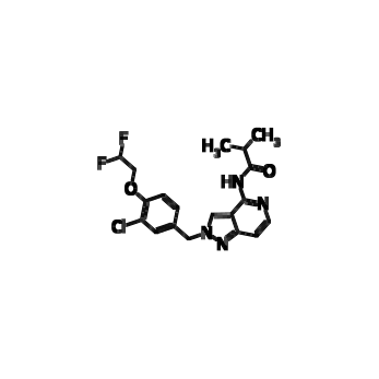 CC(C)C(=O)Nc1nccc2nn(Cc3ccc(OCC(F)F)c(Cl)c3)cc12